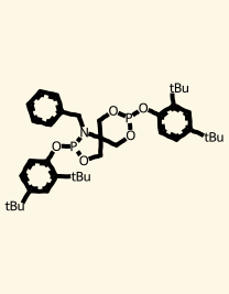 CC(C)(C)c1ccc(OP2OCC3(CO2)COP(Oc2ccc(C(C)(C)C)cc2C(C)(C)C)N3Cc2ccccc2)c(C(C)(C)C)c1